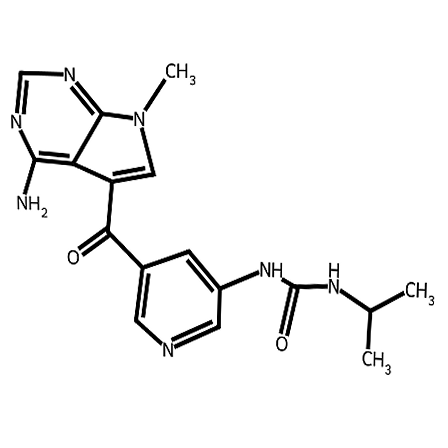 CC(C)NC(=O)Nc1cncc(C(=O)c2cn(C)c3ncnc(N)c23)c1